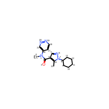 CCN(C(=O)c1cnn(C2CCCCC2)c1C)c1ccnnc1